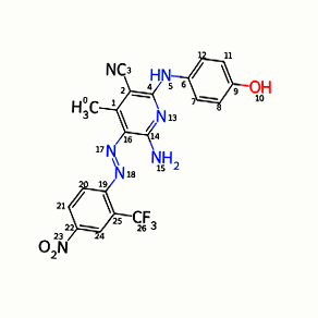 Cc1c(C#N)c(Nc2ccc(O)cc2)nc(N)c1/N=N/c1ccc([N+](=O)[O-])cc1C(F)(F)F